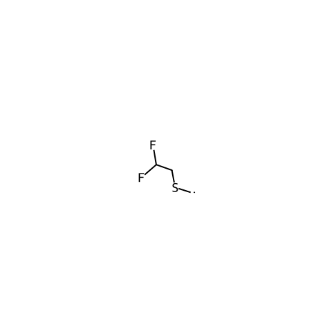 [CH2]SCC(F)F